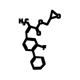 CC(=Cc1ccc(-c2ccccc2)c(F)c1)C(=O)OCC1CO1